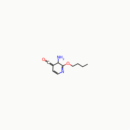 CCCCOC1=NC=CC(=C=O)C1N